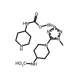 CC(C)(C)OC(=O)NC1CCNCC1.Cn1nnnc1N1CCC(NC(=O)O)CC1